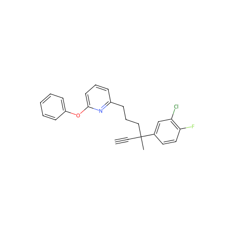 C#CC(C)(CCCc1cccc(Oc2ccccc2)n1)c1ccc(F)c(Cl)c1